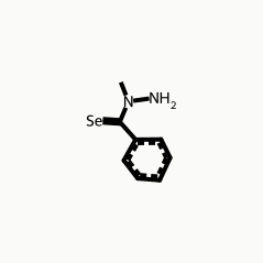 CN(N)C(=[Se])c1ccccc1